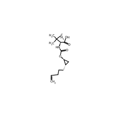 C=CCCC[C@H]1C[C@@H]1OC(=O)N[C@H](C(=O)O)C(C)(C)C